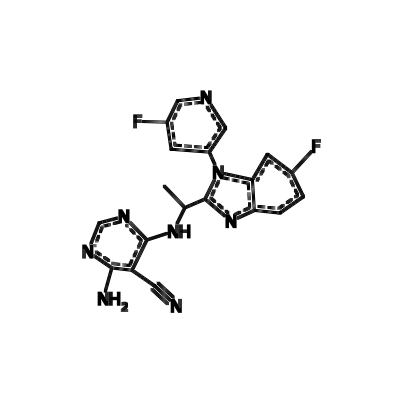 CC(Nc1ncnc(N)c1C#N)c1nc2ccc(F)cc2n1-c1cncc(F)c1